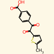 Cc1ccc(C(=O)C(=O)c2ccc(C(=O)O)cc2)s1